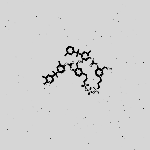 Cc1cccc(C(C)(C)c2ccc(OC(=O)Oc3ccc(CCC[Si](C)(C)O[Si](C)(C)O[Si](C)(C)CCCc4ccc(OC(=O)Oc5ccc(C(C)(C)c6ccc(C)c(C)c6)cc5C)c(CO)c4)cc3CO)c(C)c2)c1